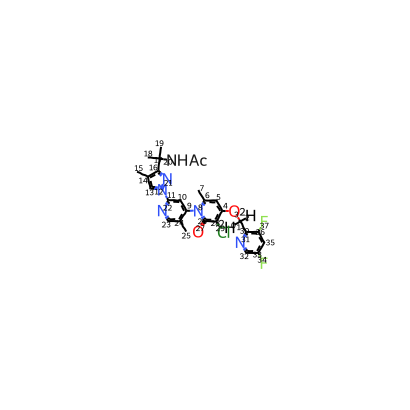 [2H]C([2H])(Oc1cc(C)n(-c2cc(-n3cc(C)c(C(C)(C)NC(C)=O)n3)ncc2C)c(=O)c1Cl)c1ncc(F)cc1F